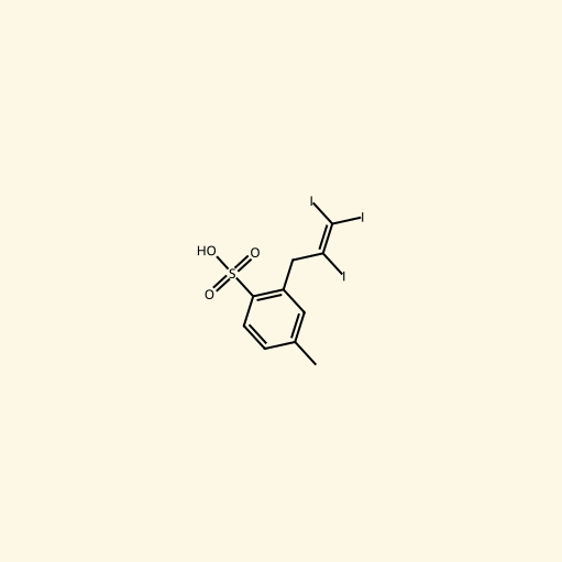 Cc1ccc(S(=O)(=O)O)c(CC(I)=C(I)I)c1